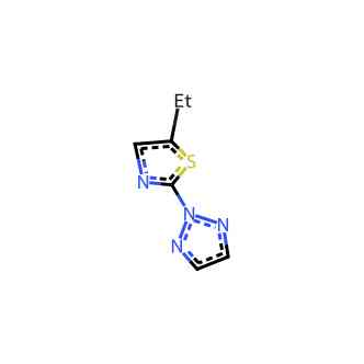 CCc1cnc(-n2nccn2)s1